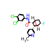 Cc1ccc([C@H]2[C@H]3O[C@H](C[C@@H]3F)[C@H]2C(=O)Nc2ccc(Cl)c(Cl)c2)cn1